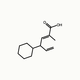 C=CC(C=C(C)C(=O)O)C1CCCCC1